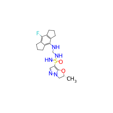 C[C@@H]1Cn2ncc(S(=N)(=O)NCNc3c4c(c(F)c5c3CCC5)CCC4)c2O1